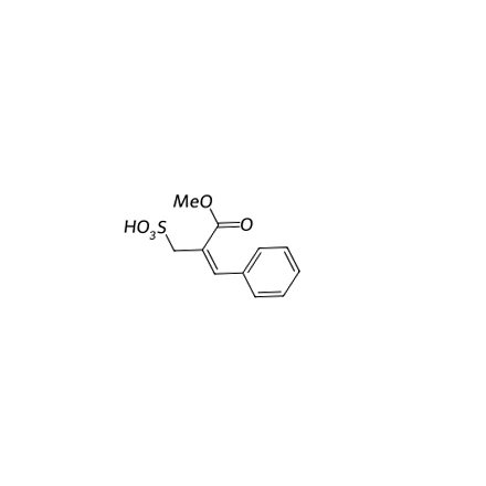 COC(=O)C(=Cc1ccccc1)CS(=O)(=O)O